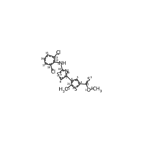 COC(=S)c1cc(-c2csc(Nc3c(Cl)cccc3Cl)n2)c(C)s1